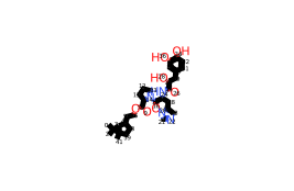 CC1(C)C2C(CCOC(=O)C3CCCN3C(=O)C(CC3=NC=NC3)NC(=O)C(O)Cc3ccc(O)c(O)c3)CCC21C